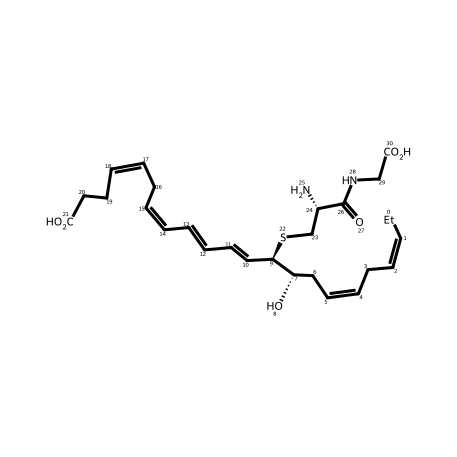 CC/C=C\C/C=C\C[C@H](O)[C@@H](/C=C/C=C/C=C\C/C=C\CCC(=O)O)SC[C@H](N)C(=O)NCC(=O)O